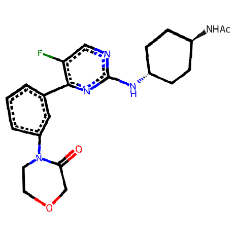 CC(=O)N[C@H]1CC[C@H](Nc2ncc(F)c(-c3cccc(N4CCOCC4=O)c3)n2)CC1